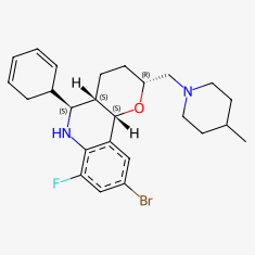 CC1CCN(C[C@H]2CC[C@@H]3[C@H](O2)c2cc(Br)cc(F)c2N[C@H]3C2C=CC=CC2)CC1